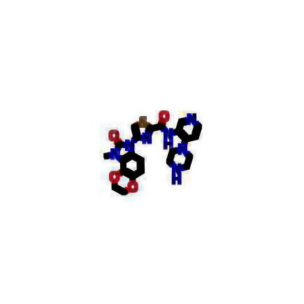 Cn1c(=O)n(-c2csc(C(=O)Nc3cnccc3N3CCNCC3)n2)c2ccc3c(c21)OCCO3